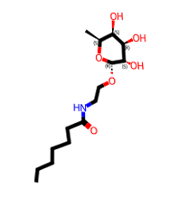 CCCCCCC(=O)NCCO[C@@H]1O[C@@H](C)[C@@H](O)[C@@H](O)[C@@H]1O